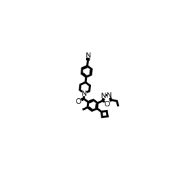 CCc1nnc(-c2cc(C(=O)N3CCC(c4ccc(C#N)cc4)CC3)c(C)cc2C2CCC2)o1